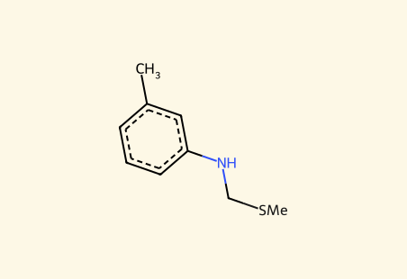 CSCNc1cccc(C)c1